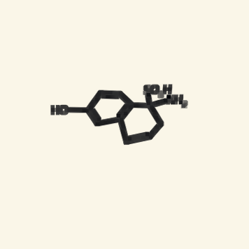 NC1(S(=O)(=O)O)CC=Cc2cc(O)ccc21